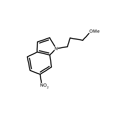 COCCCn1ccc2ccc([N+](=O)[O-])cc21